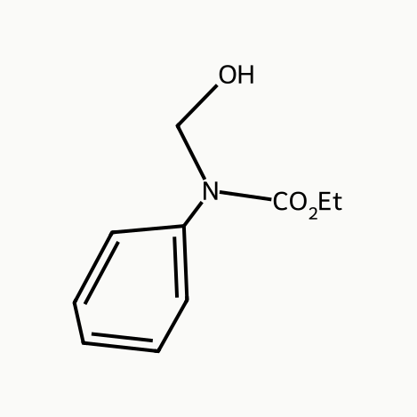 CCOC(=O)N(CO)c1ccccc1